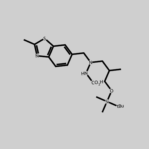 Cc1nc2ccc(CN(CC(C)CO[Si](C)(C)C(C)(C)C)NC(=O)O)cc2s1